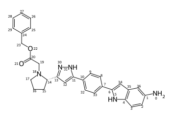 Nc1ccc2[nH]c(-c3ccc(-c4cc([C@@H]5CCCN5CC(=O)OCc5ccccc5)n[nH]4)cc3)cc2c1